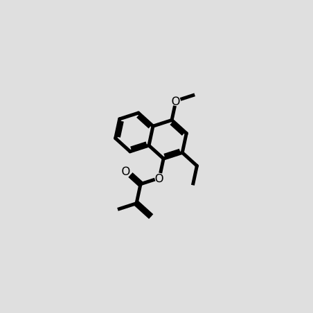 C=C(C)C(=O)Oc1c(CC)cc(OC)c2ccccc12